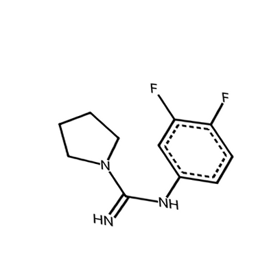 N=C(Nc1ccc(F)c(F)c1)N1CCCC1